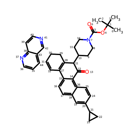 CC(C)(C)OC(=O)N1CCC(C2C(=O)c3c(ccc4cc(C5CC5)ccc34)C3=C2CCC=C3)CC1.c1cnc2ccncc2c1